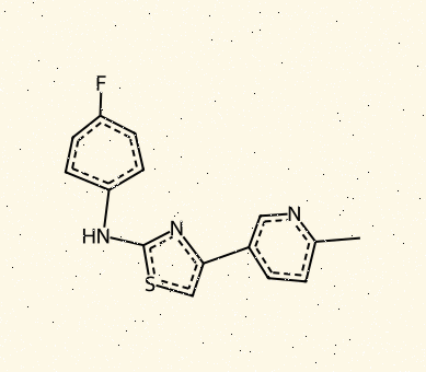 Cc1ccc(-c2csc(Nc3ccc(F)cc3)n2)cn1